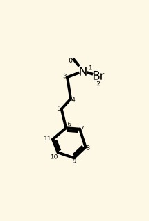 CN(Br)CCCc1ccccc1